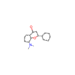 CN(C)c1cccc2c(=O)cc(-c3ccccc3)oc12